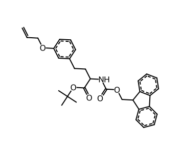 C=CCOc1cccc(CCC(NC(=O)OCC2c3ccccc3-c3ccccc32)C(=O)OC(C)(C)C)c1